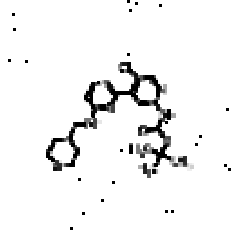 CC(C)(C)OC(=O)Nc1cc(-c2cccc(NCC3CCOCC3)n2)c(Cl)cn1